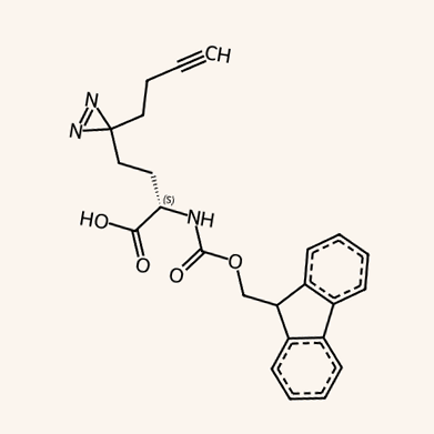 C#CCCC1(CC[C@H](NC(=O)OCC2c3ccccc3-c3ccccc32)C(=O)O)N=N1